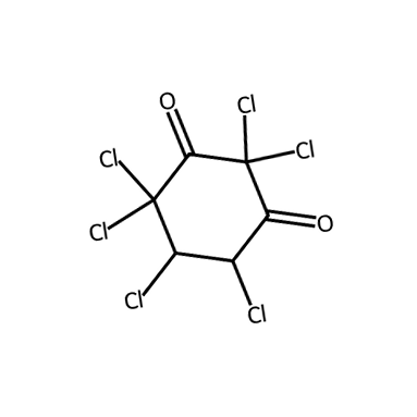 O=C1C(Cl)C(Cl)C(Cl)(Cl)C(=O)C1(Cl)Cl